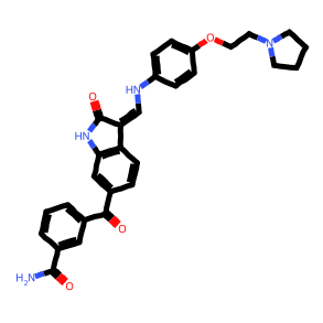 NC(=O)c1cccc(C(=O)c2ccc3c(c2)NC(=O)C3=CNc2ccc(OCCN3CCCC3)cc2)c1